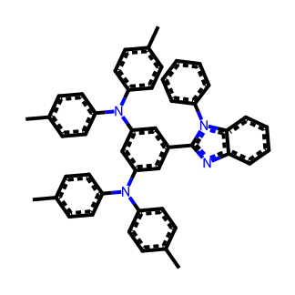 Cc1ccc(N(c2ccc(C)cc2)c2cc(-c3nc4ccccc4n3-c3ccccc3)cc(N(c3ccc(C)cc3)c3ccc(C)cc3)c2)cc1